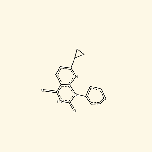 O=c1[nH]c(=O)n(-c2ccccc2)c2nc(C3CC3)ccc12